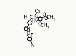 COC(=O)c1cc(OC)c2nc(C(C)N3CCC(c4cccc(OCc5ccc(C#N)cc5F)n4)CC3)n(C[C@@H]3CCO3)c2c1